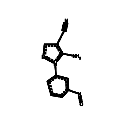 N#Cc1cnn(-c2cccc(N=O)c2)c1N